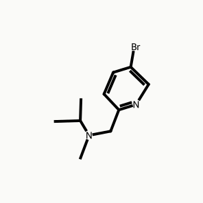 CC(C)N(C)Cc1ccc(Br)cn1